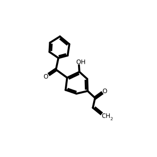 C=CC(=O)c1ccc(C(=O)c2ccccc2)c(O)c1